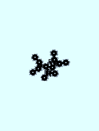 FC(F)(F)c1c(-c2ccc(-n3c4ccc(-c5ccccc5)cc4c4cc(-c5ccccc5)ccc43)cc2-c2nc(-c3ccccc3)nc(-c3ccccc3)n2)cccc1-n1c2ccc(-c3ccccc3)cc2c2cc(-c3ccccc3)ccc21